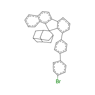 Brc1ccc(-c2ccc(-c3cccc4c3C3(c5c-4ccc4ccccc54)C4CC5CC(C4)CC3C5)cc2)cc1